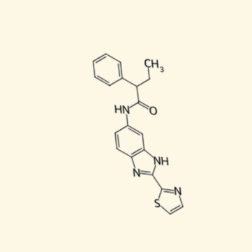 CCC(C(=O)Nc1ccc2nc(-c3nccs3)[nH]c2c1)c1ccccc1